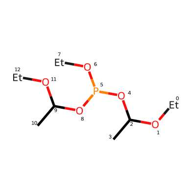 CCOC(C)OP(OCC)OC(C)OCC